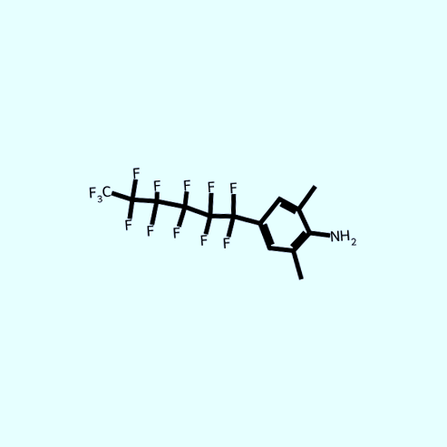 Cc1cc(C(F)(F)C(F)(F)C(F)(F)C(F)(F)C(F)(F)C(F)(F)F)cc(C)c1N